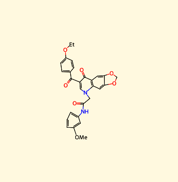 CCOc1ccc(C(=O)c2cn(CC(=O)Nc3cccc(OC)c3)c3cc4c(cc3c2=O)OCO4)cc1